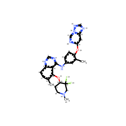 Cc1cc(Nc2ncnc3ccc(C)c(O[C@@H]4CCN(C)CC4(F)F)c23)ccc1Oc1cc2ncnn2cn1